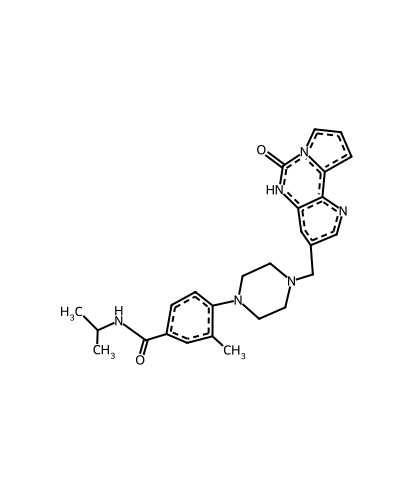 Cc1cc(C(=O)NC(C)C)ccc1N1CCN(Cc2cnc3c(c2)[nH]c(=O)n2cccc32)CC1